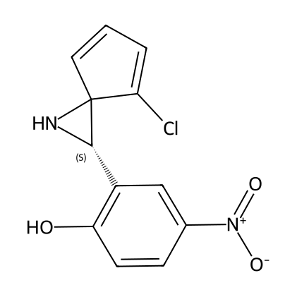 O=[N+]([O-])c1ccc(O)c([C@@H]2NC23C=CC=C3Cl)c1